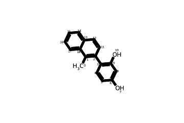 Cc1c(-c2ccc(O)cc2O)ccc2ccccc12